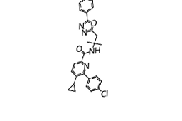 CC(C)(Cc1nnc(-c2ccccc2)o1)NC(=O)c1ccc(C2CC2)c(-c2ccc(Cl)cc2)n1